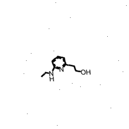 CCNc1cccc(CCO)n1